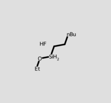 CCCCCC[SiH2]OCC.F